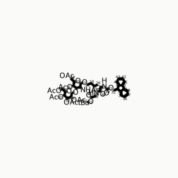 CC(=O)NC1C(O[C@@H]2OC(COC(C)=O)[C@@H](OC(C)=O)C(OC(C)=O)C2OC(C)=O)[C@H](OC(C)=O)C(COC(C)=O)O[C@@H]1OCCCC[C@H](NC(=O)OCC1c2ccccc2-c2ccccc21)C(=O)NCC(=O)OC(C)(C)C